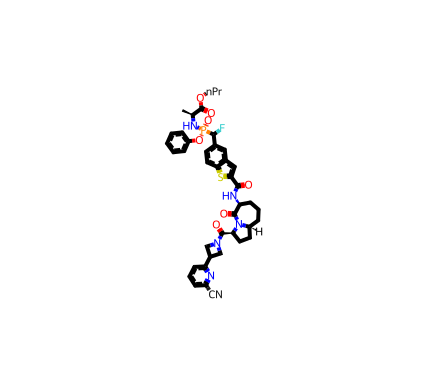 CCCOC(=O)[C@H](C)NP(=O)(Oc1ccccc1)C(F)c1ccc2sc(C(=O)N[C@H]3CCC[C@H]4CC[C@@H](C(=O)N5CC(c6cccc(C#N)n6)C5)N4C3=O)cc2c1